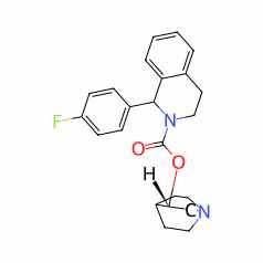 O=C(O[C@@H]1CN2CCC1CC2)N1CCc2ccccc2C1c1ccc(F)cc1